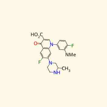 CNc1cc(-n2cc(C(=O)O)c(=O)c3cc(F)c(N4CCNC(C)C4)cc32)ccc1F